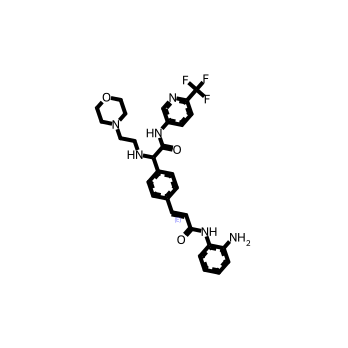 Nc1ccccc1NC(=O)/C=C/c1ccc(C(NCCN2CCOCC2)C(=O)Nc2ccc(C(F)(F)F)nc2)cc1